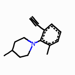 C#Cc1cccc(C)c1N1CCC(C)CC1